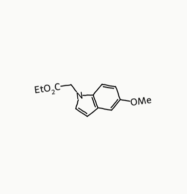 CCOC(=O)Cn1ccc2cc(OC)ccc21